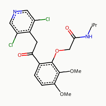 COc1ccc(C(=O)Cc2c(Cl)cncc2Cl)c(OCC(=O)NC(C)C)c1OC